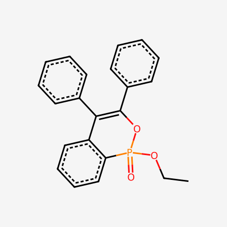 CCOP1(=O)OC(c2ccccc2)=C(c2ccccc2)c2ccccc21